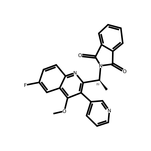 COc1c(-c2cccnc2)c([C@H](C)N2C(=O)c3ccccc3C2=O)nc2ccc(F)cc12